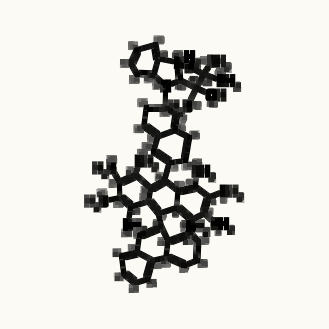 Bc1c(B)c(B)c2c(-c3cc4ccccc4c4ccccc34)c3c(B)c(B)c(B)c(B)c3c(-c3ccc4cc(-n5c(C(B)(O)C(B)(B)B)nc6ccccc65)ccc4c3)c2c1B